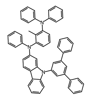 Cc1c(N(c2ccccc2)c2ccccc2)cccc1N(c1ccccc1)c1ccc2c3ccccc3n(-c3cc(-c4ccccc4)cc(-c4ccccc4)c3)c2c1